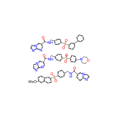 COc1ccc2cc(S(=O)(=O)c3ccc(CNC(=O)c4ccc5nccn5c4)cc3)ccc2c1.O=C(NCc1ccc(S(=O)(=O)c2ccc(N3CCOCC3)cc2)cc1)c1cnc2nccn2c1.O=C(NCc1ccc(S(=O)(=O)c2cccc(-c3ccccc3)c2)cc1)c1cnc2nccn2c1